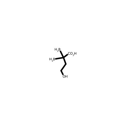 BC(B)(CCO)C(=O)O